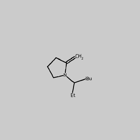 C=C1CCCN1C(CC)C(C)CC